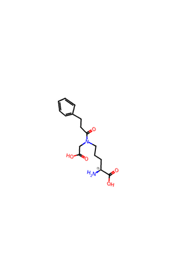 N[C@@H](CCCN(CC(=O)O)C(=O)CCc1ccccc1)C(=O)O